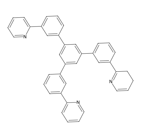 C1=CN=C(c2cccc(-c3cc(-c4cccc(-c5ccccn5)c4)cc(-c4cccc(-c5ccccn5)c4)c3)c2)CC1